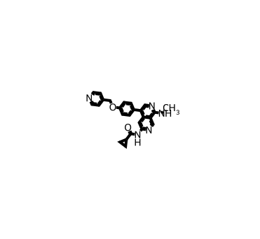 CNc1ncc(-c2ccc(OCc3ccncc3)cc2)c2cc(NC(=O)C3CC3)ncc12